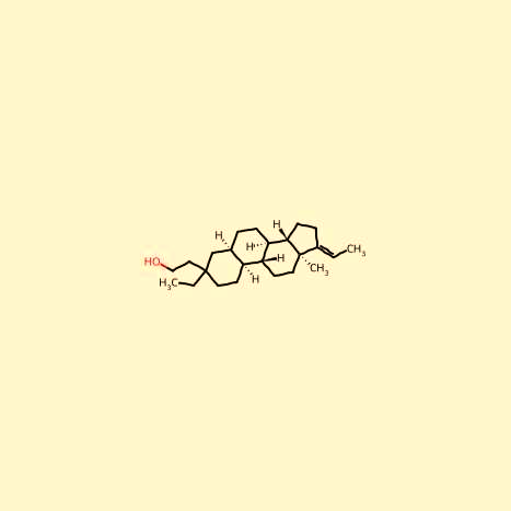 C/C=C1\CC[C@H]2[C@@H]3CC[C@@H]4CC(CC)(CCO)CC[C@@H]4[C@H]3CC[C@]12C